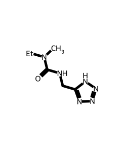 CCN(C)C(=O)NCc1nnn[nH]1